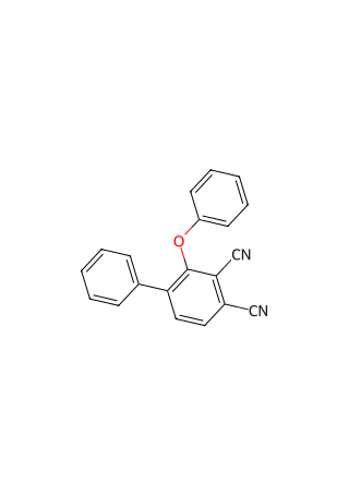 N#Cc1ccc(-c2ccccc2)c(Oc2ccccc2)c1C#N